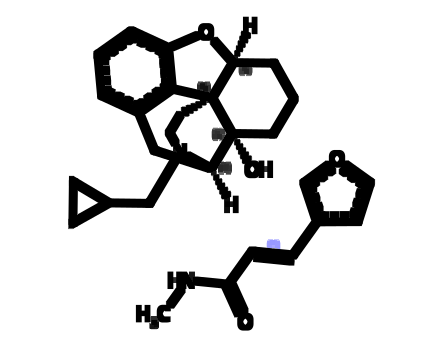 CNC(=O)/C=C/c1ccoc1.O[C@@]12CCC[C@@H]3Oc4cccc5c4[C@@]31CCN(CC1CC1)[C@@H]2C5